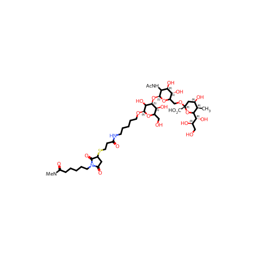 CNC(=O)CCCCCN1C(=O)CC(SCCC(=O)NCCCCCO[C@@H]2OC(CO)[C@H](O)[C@H](O[C@@H]3OC(CO[C@]4(C(=O)O)C[C@@H](O)[C@@H](C)C([C@H](O)[C@H](O)CO)O4)[C@@H](O)[C@H](O)C3NC(C)=O)C2O)C1=O